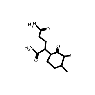 CC1CCC(C(CCC(N)=O)C(N)=O)C(=O)C1I